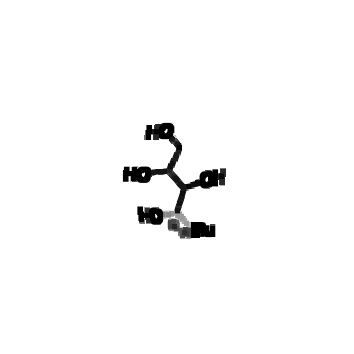 CC[C@@H](C)[C@H](O)C(O)C(O)CO